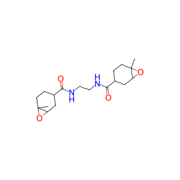 CC12CCC(C(=O)NCCNC(=O)C3CCC4(C)OC4C3)CC1O2